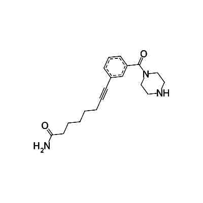 NC(=O)CCCCCC#Cc1cccc(C(=O)N2CCNCC2)c1